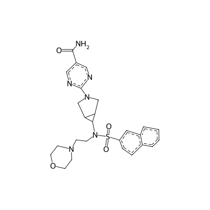 NC(=O)c1cnc(N2CC3C(C2)C3N(CCN2CCOCC2)S(=O)(=O)c2ccc3ccccc3c2)nc1